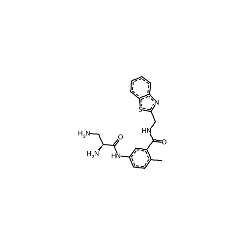 Cc1ccc(NC(=O)[C@@H](N)CN)cc1C(=O)NCc1nc2ccccc2s1